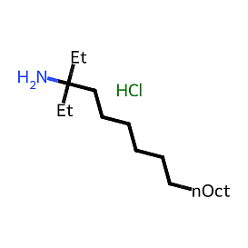 CCCCCCCCCCCCCCC(N)(CC)CC.Cl